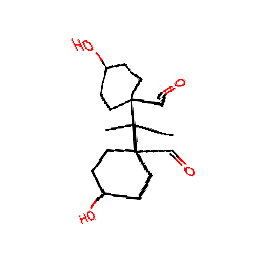 CC(C)(C1(C=O)CCC(O)CC1)C1(C=O)CCC(O)CC1